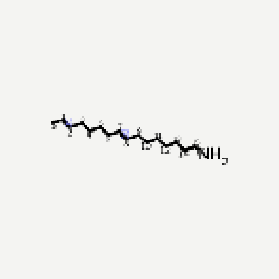 C/C=C/CCCC/C=C/CCCCCCCN